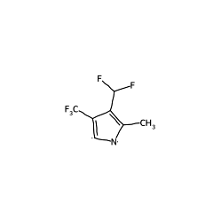 CC1=C(C(F)F)C(C(F)(F)F)=[C][N]1